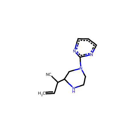 C=CC(C#N)C1CN(c2ncccn2)CCN1